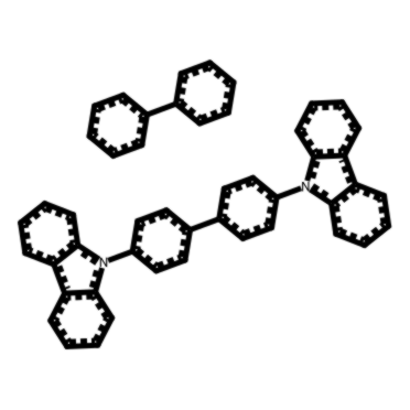 c1ccc(-c2ccccc2)cc1.c1ccc2c(c1)c1ccccc1n2-c1ccc(-c2ccc(-n3c4ccccc4c4ccccc43)cc2)cc1